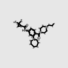 CCCN1CCN(C(=O)c2ccc(NC(=O)C3CC3(F)F)cc2N2CCCCCC2)CC1